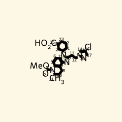 COC(=O)N1c2ccc3c(nc(CCn4cc(Cl)cn4)n3[C@@H]3CCC[C@@H](C(=O)O)C3)c2CCC1C